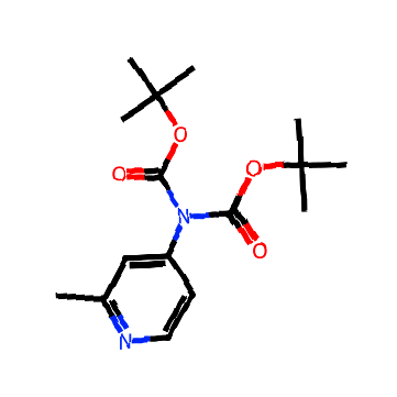 Cc1cc(N(C(=O)OC(C)(C)C)C(=O)OC(C)(C)C)ccn1